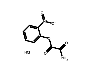 Cl.NC(=O)C(=O)Oc1ccccc1[N+](=O)[O-]